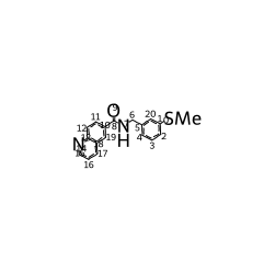 CSc1cccc(CNC(=O)c2ccc3ncccc3c2)c1